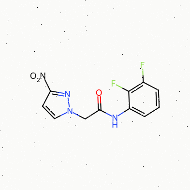 O=C(Cn1ccc([N+](=O)[O-])n1)Nc1cccc(F)c1F